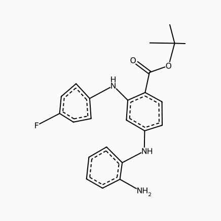 CC(C)(C)OC(=O)c1ccc(Nc2ccccc2N)cc1Nc1ccc(F)cc1